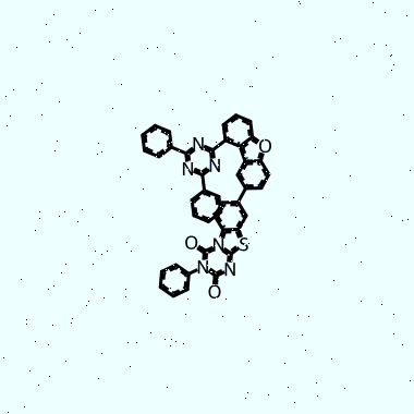 O=c1nc2sc3cc(-c4ccc5oc6cccc(-c7nc(-c8ccccc8)nc(-c8ccccc8)n7)c6c5c4)ccc3n2c(=O)n1-c1ccccc1